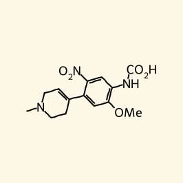 COc1cc(C2=CCN(C)CC2)c([N+](=O)[O-])cc1NC(=O)O